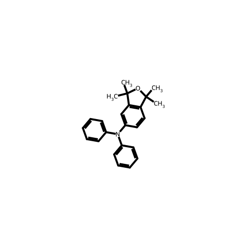 CC1(C)OC(C)(C)c2cc(N(c3ccccc3)c3ccccc3)ccc21